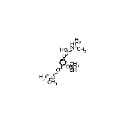 CC(C)NCC(O)COc1ccc(COCCOC(C)C)cc1.CS(=O)(=O)O